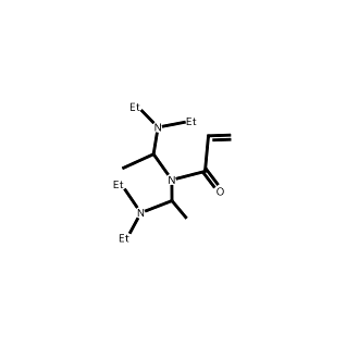 C=CC(=O)N(C(C)N(CC)CC)C(C)N(CC)CC